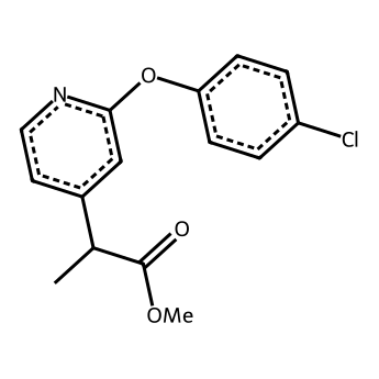 COC(=O)C(C)c1ccnc(Oc2ccc(Cl)cc2)c1